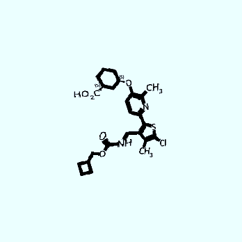 Cc1nc(-c2sc(Cl)c(C)c2CNC(=O)OCC2CCC2)ccc1O[C@H]1CCC[C@H](C(=O)O)C1